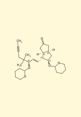 CC#CCC(C)(C)[C@@H](C=C[C@@H]1[C@H]2CC(=O)C[C@H]2C[C@H]1OC1CCCCO1)OC1CCCCO1